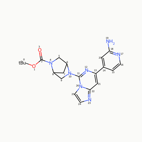 CC(C)(C)OC(=O)N1CC2CC1CN2c1nc(-c2ccnc(N)c2)cc2nccn12